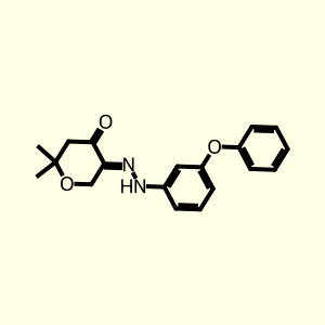 CC1(C)CC(=O)C(=NNc2cccc(Oc3ccccc3)c2)CO1